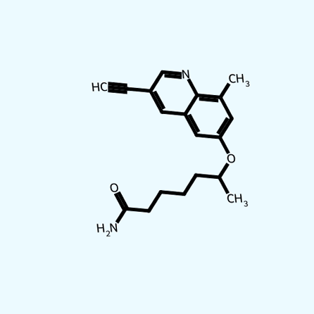 C#Cc1cnc2c(C)cc(OC(C)CCCCC(N)=O)cc2c1